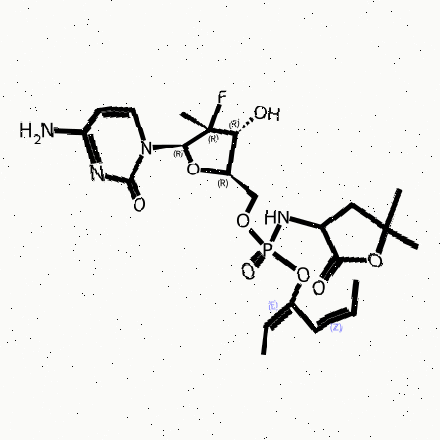 C/C=C\C(=C/C)OP(=O)(NC1CC(C)(C)OC1=O)OC[C@H]1O[C@@H](n2ccc(N)nc2=O)[C@](C)(F)[C@@H]1O